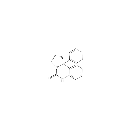 O=C1Nc2ccccc2C2(c3ccccc3)OCCN12